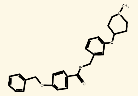 CN1CCC(Oc2cccc(CNC(=O)c3ccc(OCc4ccccc4)cc3)c2)CC1